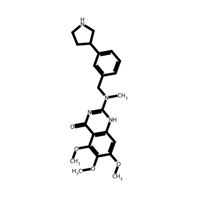 COc1cc2[nH]c(N(C)Cc3cccc(C4CCNC4)c3)nc(=O)c2c(OC)c1OC